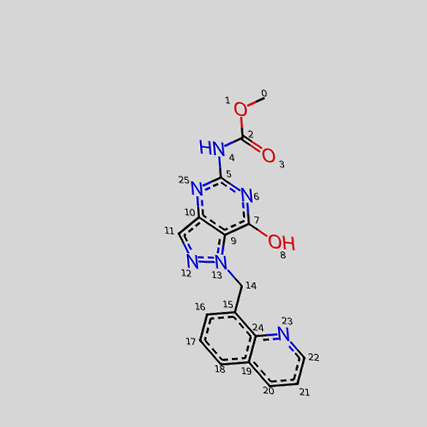 COC(=O)Nc1nc(O)c2c(cnn2Cc2cccc3cccnc23)n1